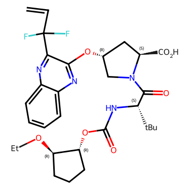 C=CC(F)(F)c1nc2ccccc2nc1O[C@@H]1C[C@@H](C(=O)O)N(C(=O)[C@@H](NC(=O)O[C@@H]2CCC[C@H]2OCC)C(C)(C)C)C1